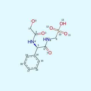 [O]CC(=O)N[C@@H](C(=O)NCS(=O)(=O)O)c1ccccc1